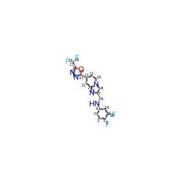 Fc1ccc(NCc2cn3ccc(-c4nnc(C(F)F)o4)cc3n2)cc1F